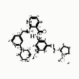 CN1CCC[C@H]1COc1cc(NC(=O)c2cccnc2NCc2ccnc(N3CCOCC3)c2)cc(C(F)(F)F)c1